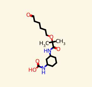 CC(C)(OCCCCCC=O)C(=O)NC1CCCC(NC(=O)O)C1